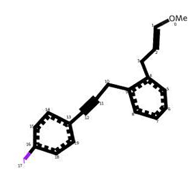 COC=CCc1ccccc1CC#Cc1ccc(I)cc1